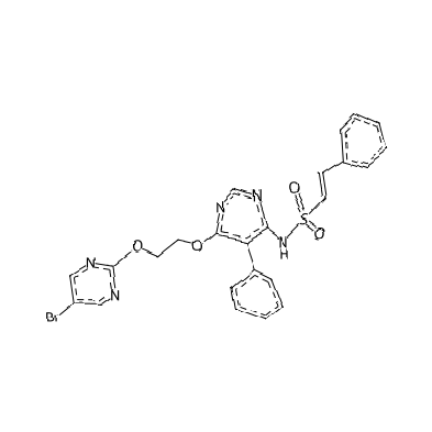 O=S(=O)(C=Cc1ccccc1)Nc1ncnc(OCCOc2ncc(Br)cn2)c1-c1ccccc1